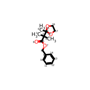 CC1(C(C)(C)C(=O)OCc2ccccc2)OCCO1